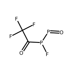 O=PP(F)C(=O)C(F)(F)F